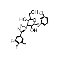 OCC1OC(Sc2cccc(Cl)c2)C(O)C(n2cc(-c3cc(F)c(F)c(F)c3)nn2)C1O